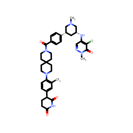 CN1C[C@H](Nc2cnn(C)c(=O)c2Cl)C[C@H](c2ccc(C(=O)N3CCC4(CC3)CCN(c3ccc(C5CCC(=O)NC5=O)cc3C(F)(F)F)CC4)cc2)C1